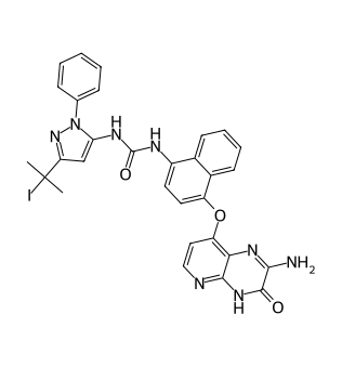 CC(C)(I)c1cc(NC(=O)Nc2ccc(Oc3ccnc4[nH]c(=O)c(N)nc34)c3ccccc23)n(-c2ccccc2)n1